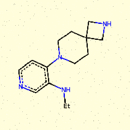 CCNc1cnccc1N1CCC2(CC1)CNC2